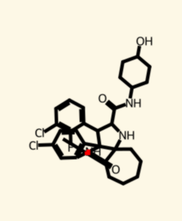 O=C(NC1CCC(O)CC1)C1NC2(CCCCCC2)C2(C(=O)Nc3cc(Cl)ccc32)C1c1cccc(Cl)c1F